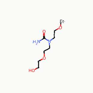 C[CH]OCCN(CCOCCO)C(N)=O